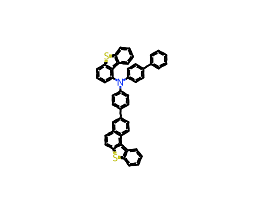 c1ccc(-c2ccc(N(c3ccc(-c4ccc5c(ccc6sc7ccccc7c65)c4)cc3)c3cccc4sc5ccccc5c34)cc2)cc1